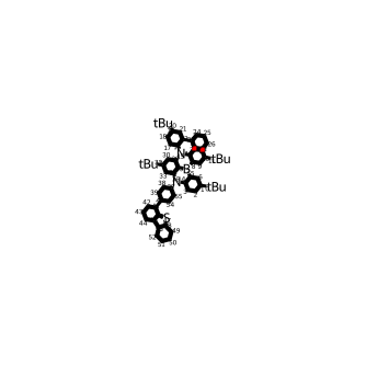 CC(C)(C)c1ccc2c(c1)B1c3cc(C(C)(C)C)ccc3N(c3ccc(C(C)(C)C)cc3-c3ccccc3)c3cc(C(C)(C)C)cc(c31)N2c1ccc(-c2cccc3c2sc2ccccc23)cc1